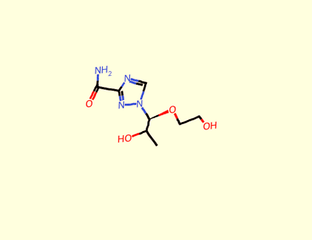 CC(O)[C@H](OCCO)n1cnc(C(N)=O)n1